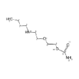 CCCCNCCOCCOC(N)=O